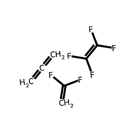 C=C(F)F.C=C=C.FC(F)=C(F)F